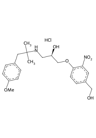 COc1ccc(CC(C)(C)NC[C@@H](O)COc2ccc(CO)cc2[N+](=O)[O-])cc1.Cl